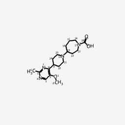 COc1cnc(C)nc1C1CCN(C2CCCN(C(=O)O)CC2)CC1